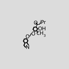 Cc1c(OCCOc2ccc3ccncc3c2)ccc(C(=O)CC(C)C)c1O